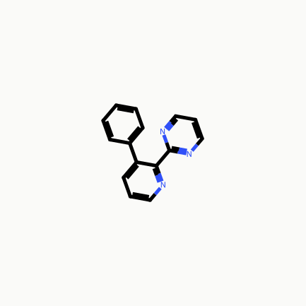 c1ccc(-c2cccnc2-c2ncccn2)cc1